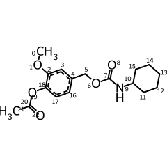 COc1cc(COC(=O)NC2CCCCC2)ccc1OC(C)=O